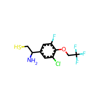 NC(CS)c1cc(F)c(OCC(F)(F)F)c(Cl)c1